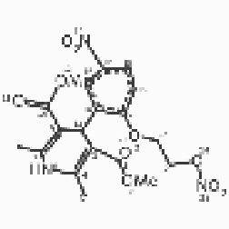 COC(=O)C1=C(C)NC(C)=C(C(=O)OC)C1c1cc([N+](=O)[O-])ccc1OCCO[N+](=O)[O-]